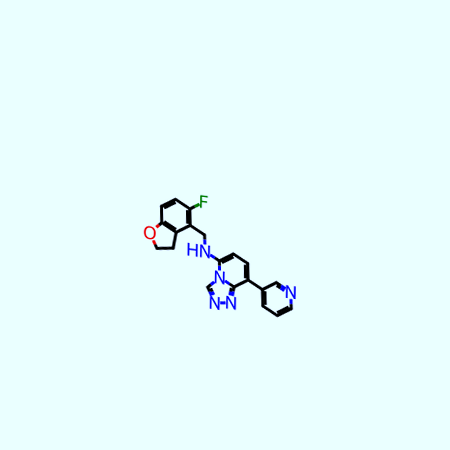 Fc1ccc2c(c1CNc1ccc(-c3cccnc3)c3nncn13)CCO2